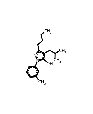 CCCCc1nn(-c2cccc(C)c2)c(O)c1CC(C)C